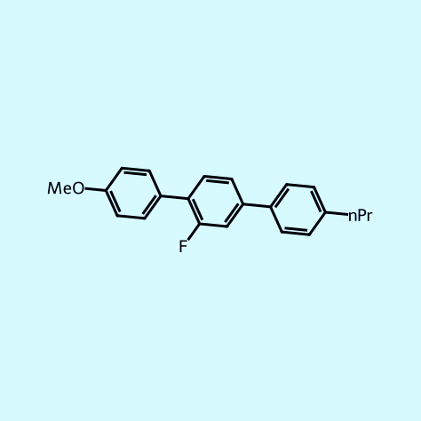 CCCc1ccc(-c2ccc(-c3ccc(OC)cc3)c(F)c2)cc1